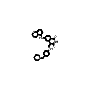 O=C1NC(=O)c2ccc(Nc3cccc4ncccc34)cc2/C1=C/Nc1ccc(CN2CCCCC2)cc1